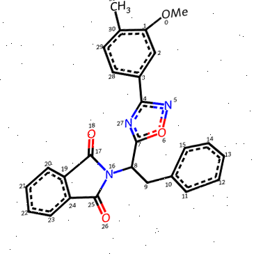 COc1cc(-c2noc(C(Cc3ccccc3)N3C(=O)c4ccccc4C3=O)n2)ccc1C